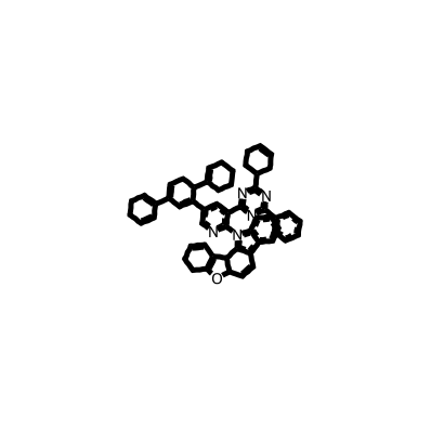 C1=CC(C2=CCC(C3=CCCCC3)C(c3cnc(-n4c5c(c6ccccc64)C=CC4OC6=C(C=CCC6)C54)c(-c4nc(-c5ccccc5)nc(C5CC=CCC5)n4)c3)=C2)=CCC1